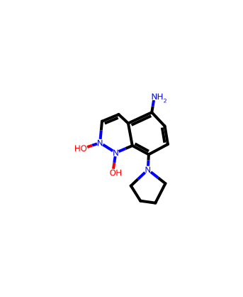 Nc1ccc(N2CCCC2)c2c1C=CN(O)N2O